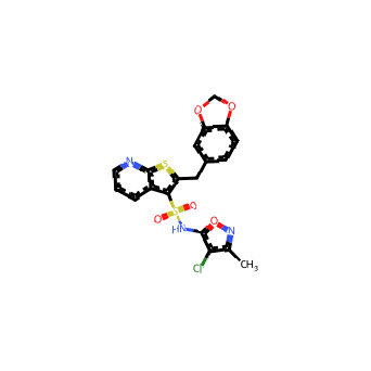 Cc1noc(NS(=O)(=O)c2c(Cc3ccc4c(c3)OCO4)sc3ncccc23)c1Cl